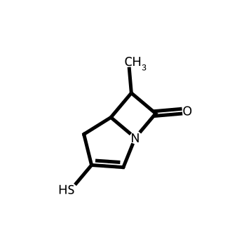 CC1C(=O)N2C=C(S)CC12